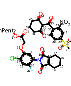 CCCCCOC(=O)COc1cc(N2C(=O)C3=C(CCCC3)C2=O)c(F)cc1Cl.CS(=O)(=O)c1ccc(C(=O)C2C(=O)CCCC2=O)c([N+](=O)[O-])c1